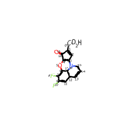 O=C(O)C1=CC2=C(OC3=C(F)C(F)=CC4C=CCN2C34)C1=O